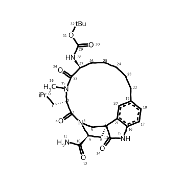 CC(C)C[C@H]1C(=O)N2C[C@]3(C[C@H]2C(N)=O)C(=O)Nc2ccc(cc23)CCCCC[C@H](NC(=O)OC(C)(C)C)C(=O)N1C